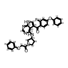 O=C(c1ccc(Oc2ccccc2)cc1F)c1c[nH]c2ncnc(NC3CCN(C(=O)COc4ccccc4)C3)c12